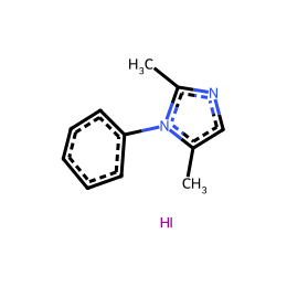 Cc1cnc(C)n1-c1ccccc1.I